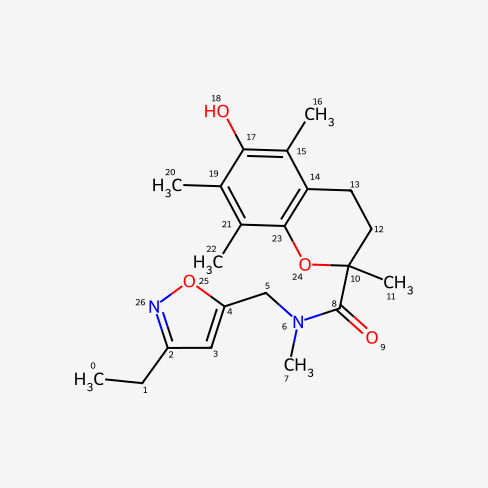 CCc1cc(CN(C)C(=O)C2(C)CCc3c(C)c(O)c(C)c(C)c3O2)on1